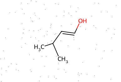 CC(C)C=CO